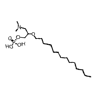 CCCCCCCCCCCCCCOC(COP(=O)(O)O)CN(C)C